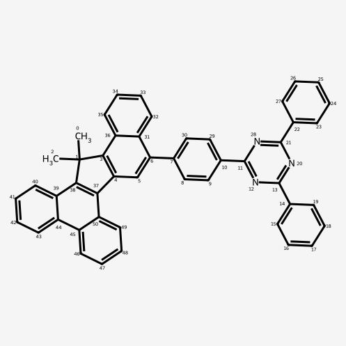 CC1(C)c2c(cc(-c3ccc(-c4nc(-c5ccccc5)nc(-c5ccccc5)n4)cc3)c3ccccc23)-c2c1c1ccccc1c1ccccc21